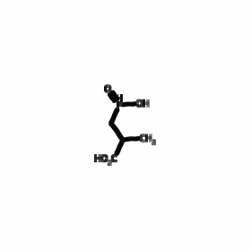 CC(C[PH](=O)O)C(=O)O